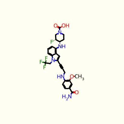 COc1cc(C(N)=O)ccc1NCC#Cc1cc2c(N[C@H]3CCN(C(=O)O)C[C@H]3F)cccc2n1CC(F)(F)F